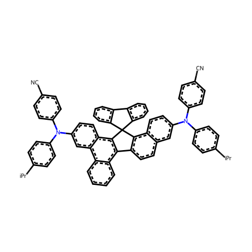 CC(C)c1ccc(N(c2ccc(C#N)cc2)c2ccc3c4c(ccc3c2)-c2c(c3ccc(N(c5ccc(C#N)cc5)c5ccc(C(C)C)cc5)cc3c3ccccc23)C42c3ccccc3-c3ccccc32)cc1